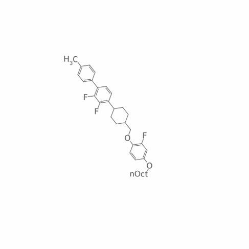 CCCCCCCCOc1ccc(OCC2CCC(c3ccc(-c4ccc(C)cc4)c(F)c3F)CC2)c(F)c1